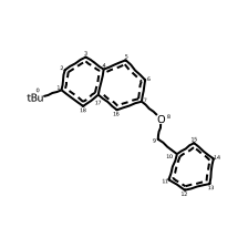 CC(C)(C)c1ccc2ccc(OCc3ccccc3)cc2c1